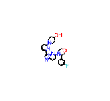 OC1CCN(c2cccc(-c3cnc4ccc(N5CCOCC5c5cccc(F)c5)nn34)n2)CC1